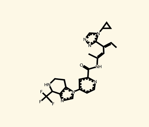 C/C=C(\C=C(/C)NC(=O)c1cc(-n2cnc3c2CCNC3C(F)(F)F)ccn1)c1nncn1C1CC1